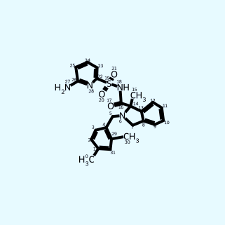 Cc1ccc(CN2Cc3ccccc3C2(C)C(=O)NS(=O)(=O)c2cccc(N)n2)c(C)c1